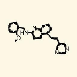 COc1ccccc1CNc1ccc2c(C=Cc3cncnc3)cccc2n1